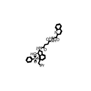 CC(C)CCN(C[C@@H](O)[C@](C)(Cc1ccccc1)NC(=O)CCC(=O)NNC(=O)c1ccc2ccccc2n1)S(=O)(=O)c1ccccc1